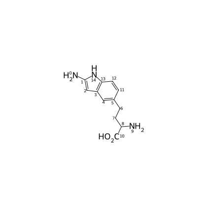 Nc1cc2cc(CCC(N)C(=O)O)ccc2[nH]1